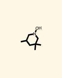 CC1CN(O)CC(C)(C)C1